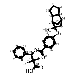 CC1(Oc2ccc(C(=O)OC(c3ccccc3)C(F)(F)C(=O)O)cc2)CC2CC1C1CCCC21